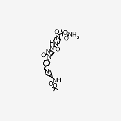 CC(C)(C)OC(=O)NC1C2CN(CC3CCC(n4ccc(NC(=O)N5CCN(C(=O)C(C)(C)OC(N)=O)CC5)nc4=O)CC3)CC21